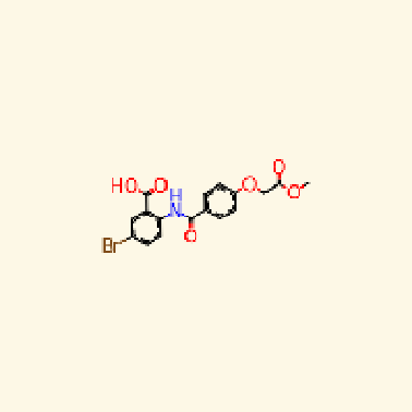 COC(=O)COc1ccc(C(=O)Nc2ccc(Br)cc2C(=O)O)cc1